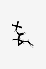 CC(C)(C)OC(=O)[C@@]1(C)C[C@@H]1CO